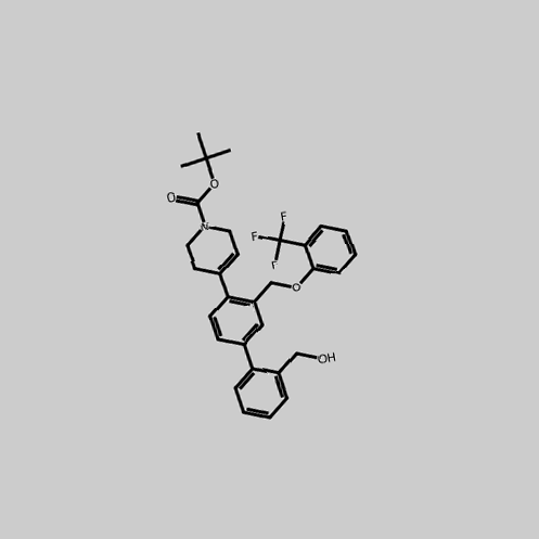 CC(C)(C)OC(=O)N1CC=C(c2ccc(-c3ccccc3CO)cc2COc2ccccc2C(F)(F)F)CC1